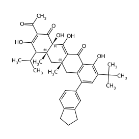 CC(=O)C1=C(O)C(C(C)C)[C@@]2(C)C[C@@]3(C)Cc4c(-c5ccc6c(c5)CCC6)cc(C(C)(C)C)c(O)c4C(=O)C3=C(O)[C@@]2(O)C1=O